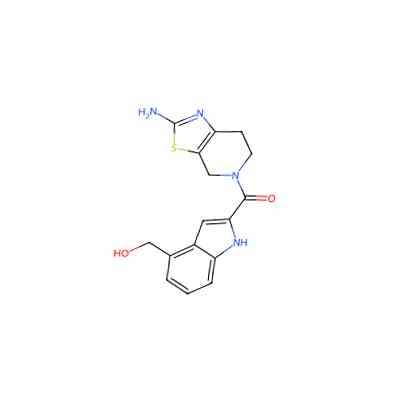 Nc1nc2c(s1)CN(C(=O)c1cc3c(CO)cccc3[nH]1)CC2